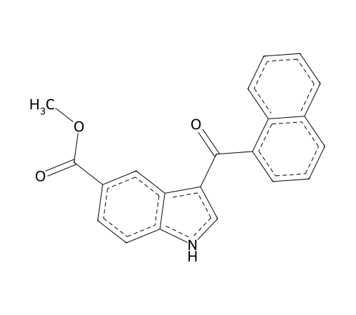 COC(=O)c1ccc2[nH]cc(C(=O)c3cccc4ccccc34)c2c1